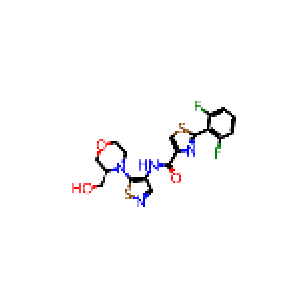 O=C(Nc1cnsc1N1CCOC[C@@H]1CO)c1csc(-c2c(F)cccc2F)n1